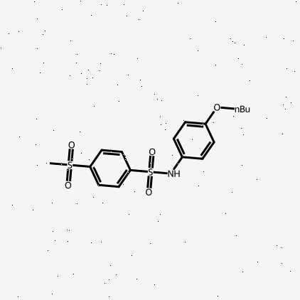 CCCCOc1ccc(NS(=O)(=O)c2ccc(S(C)(=O)=O)cc2)cc1